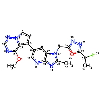 COc1ncnn2ccc(-c3cnc4nc(C)n(Cc5nnc(C(C)F)o5)c4c3)c12